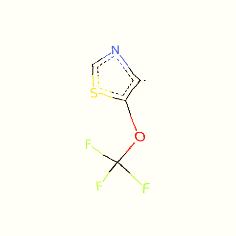 FC(F)(F)Oc1[c]ncs1